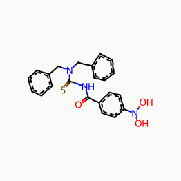 O=C(NC(=S)N(Cc1ccccc1)Cc1ccccc1)c1ccc(N(O)O)cc1